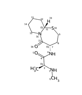 CN[C@@H](C)C(=O)N[C@H]1CCS[C@H]2CCCCN2C1=O